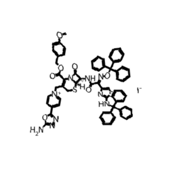 COc1ccc(COC(=O)C2=C(C[n+]3ccc(-c4nnc(N)o4)cc3)CS[C@H]3[C@H](NC(=O)C(=NOC(c4ccccc4)(c4ccccc4)c4ccccc4)c4csc(NC(c5ccccc5)(c5ccccc5)c5ccccc5)n4)C(=O)N23)cc1.[I-]